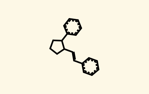 C(=CC1CCCC1c1ccccc1)c1ccccc1